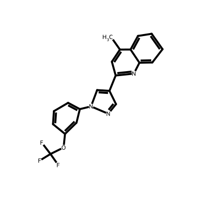 Cc1cc(-c2cnn(-c3cccc(OC(F)(F)F)c3)c2)nc2ccccc12